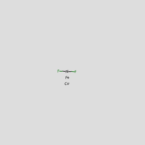 [Co].[F][Ni][F].[Fe]